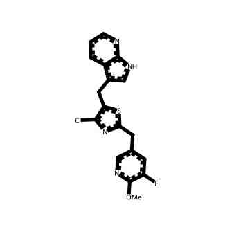 COc1ncc([CH]c2nc(Cl)c(Cc3c[nH]c4ncccc34)s2)cc1F